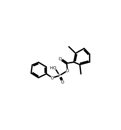 Cc1cccc(C)c1C(=O)OP(=O)(O)Oc1ccccc1